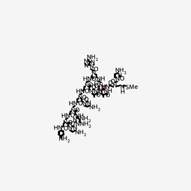 CSCNCCN(CC(=O)NCCN(CC(=O)NCCN(CC(=O)NCCN(CC(=O)NCCN(CC(=O)NCCN(CC(=O)NCCN(CC(=O)Nc1ccc(N)cc1)C(=O)Cn1ccc(N)nc1=O)C(=O)CNc1ncnc(N)c1N)C(=O)Cn1ccc(N)nc1=O)C(=O)Cn1cc(C)c(=O)[nH]c1=O)C(=O)Cn1cnc2c(N)ncnc21)C(=O)Cn1cc(C)c(=O)[nH]c1=O)C(=O)Cn1ccc(N)nc1=O